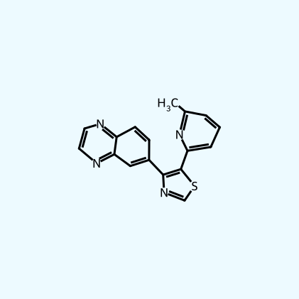 Cc1cccc(-c2scnc2-c2ccc3nccnc3c2)n1